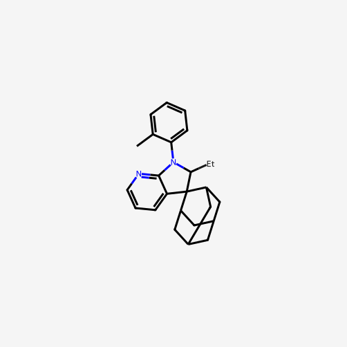 CCC1N(c2ccccc2C)c2ncccc2C12C1CC3CC(C1)CC2C3